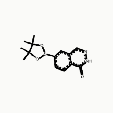 CC1(C)OB(c2ccc3c(=O)[nH]ncc3c2)OC1(C)C